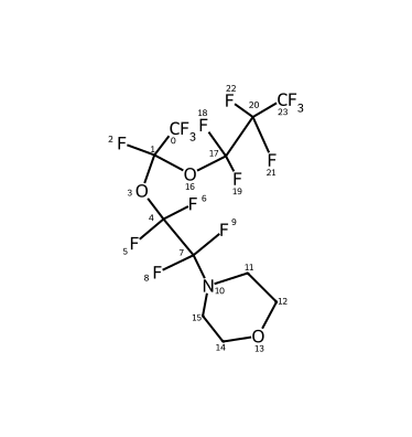 FC(F)(F)C(F)(OC(F)(F)C(F)(F)N1CCOCC1)OC(F)(F)C(F)(F)C(F)(F)F